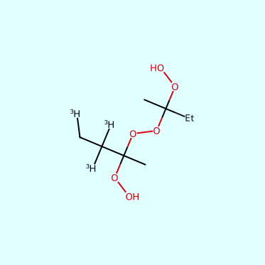 [3H]CC([3H])([3H])C(C)(OO)OOC(C)(CC)OO